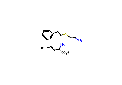 NCCSCCc1ccccc1.N[C@@H](CCC(=O)O)C(=O)O